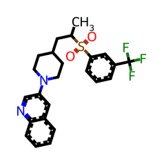 CC(CC1CCN(c2cnc3ccccc3c2)CC1)S(=O)(=O)c1cccc(C(F)(F)F)c1